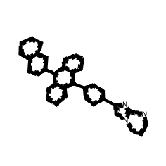 c1ccc2cc(-c3c4ccccc4c(-c4ccc(-c5cn6cccnc6n5)cc4)c4ccccc34)ccc2c1